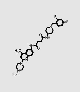 Cc1cc(N2CCN(C)CC2)nc2ccc(NC(=O)CCC(=O)NC3CCN(Cc4ccc(F)cc4F)CC3)cc12